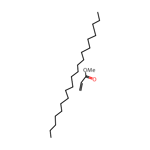 C=CC(=O)OC.CCCCCCCCCCCCCCCCCCCC